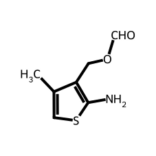 Cc1csc(N)c1COC=O